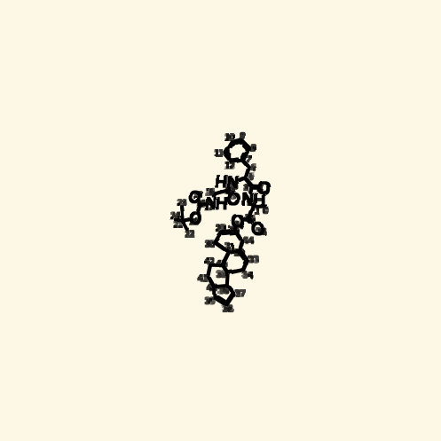 CC(NC(=O)C(Cc1ccccc1)NC(=O)CNC(=O)OC(C)(C)C)C(=O)OC1=CCC2C(=CCC3C4CC=CC4CCC23)C1